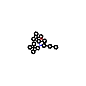 c1ccc(-c2ccc(-c3ccc(N(c4ccc5c(c4)C(c4ccccc4)(c4ccccc4)c4ccccc4-5)c4ccc(C5(c6ccccc6)c6ccccc6-c6ccccc65)c5oc6ccccc6c45)cc3)cc2)cc1